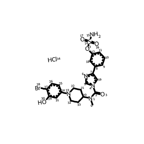 CN(C(=O)n1cnc(-c2cccc(OS(N)(=O)=O)c2)c1)C1CCN(c2ccc(Br)c(O)c2)CC1.Cl